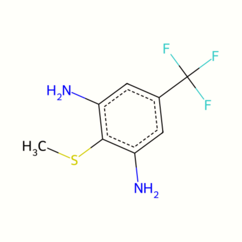 CSc1c(N)cc(C(F)(F)F)cc1N